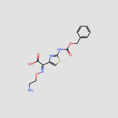 NCCO/N=C(\C(=O)O)c1csc(NC(=O)OCc2ccccc2)n1